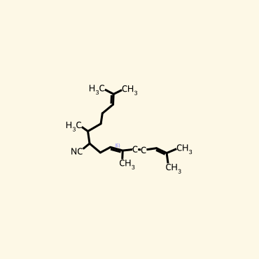 CC(C)=CCC/C(C)=C/CC(C#N)C(C)CCC=C(C)C